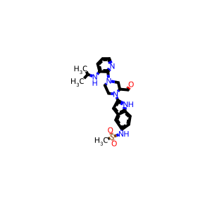 CC(C)Nc1cccnc1N1CCN(c2cc3cc(NS(C)(=O)=O)ccc3[nH]2)C(C=O)C1